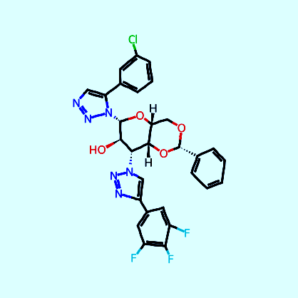 O[C@@H]1[C@@H](n2cc(-c3cc(F)c(F)c(F)c3)nn2)[C@H]2O[C@@H](c3ccccc3)OC[C@H]2O[C@H]1n1nncc1-c1cccc(Cl)c1